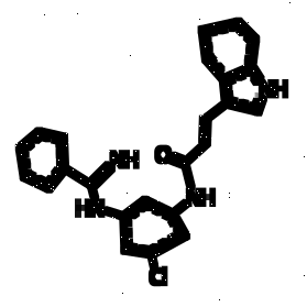 N=C(Nc1cc(Cl)cc(NC(=O)/C=C/c2c[nH]c3ccccc23)c1)c1ccccc1